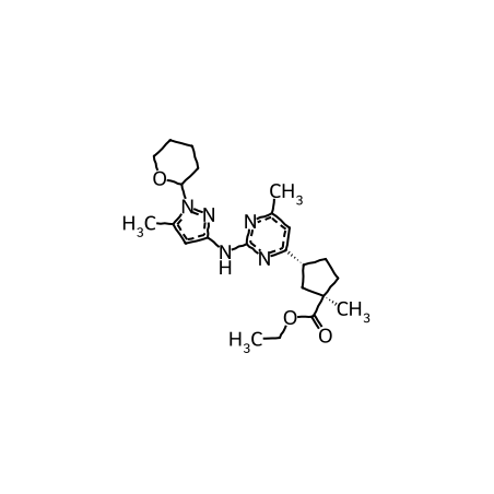 CCOC(=O)[C@]1(C)CC[C@@H](c2cc(C)nc(Nc3cc(C)n(C4CCCCO4)n3)n2)C1